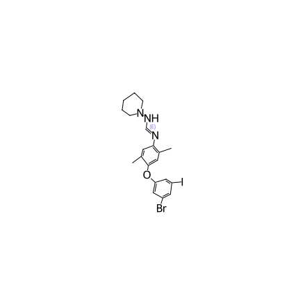 Cc1cc(Oc2cc(Br)cc(I)c2)c(C)cc1/N=C/NN1CCCCC1